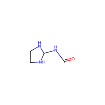 O=[C]NC1NCCN1